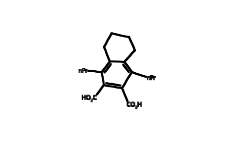 CCCc1c2c(c(CCC)c(C(=O)O)c1C(=O)O)CCCC2